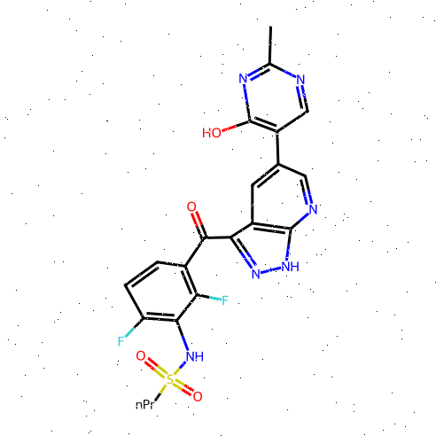 CCCS(=O)(=O)Nc1c(F)ccc(C(=O)c2n[nH]c3ncc(-c4cnc(C)nc4O)cc23)c1F